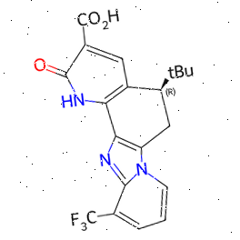 CC(C)(C)[C@H]1Cc2c(nc3c(C(F)(F)F)cccn23)-c2[nH]c(=O)c(C(=O)O)cc21